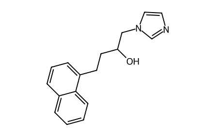 OC(CCc1cccc2ccccc12)Cn1ccnc1